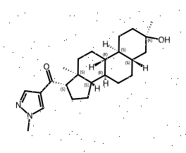 Cn1cc(C(=O)[C@H]2CC[C@H]3[C@@H]4CC[C@H]5C[C@](C)(O)CC[C@@H]5[C@H]4CC[C@]23C)cn1